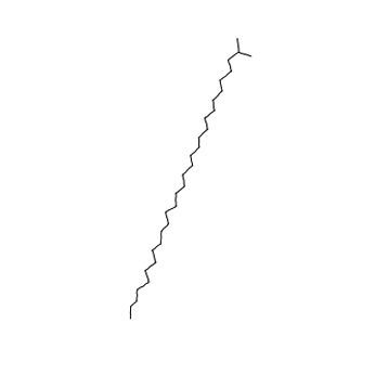 CCCCCCCCCCCCCCCCCCCCCCCCCCCCC(C)C